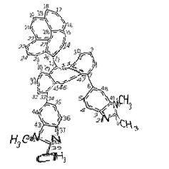 Cc1nc2ccc(-c3cccc4c(-c5cc6cccc7ccc8cccc5c8c76)c5cccc(-c6ccc7nc(C)n(C)c7c6)c5cc34)cc2n1C